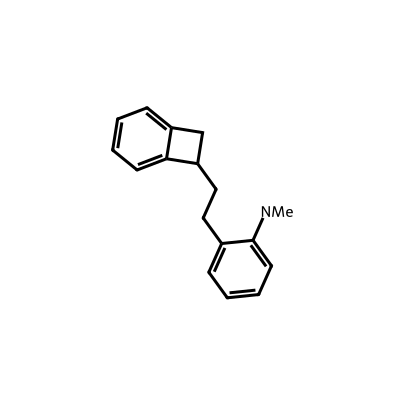 CNc1ccccc1CCC1Cc2ccccc21